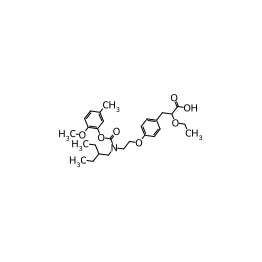 CCOC(Cc1ccc(OCCN(CC(CC)CC)C(=O)Oc2cc(C)ccc2OC)cc1)C(=O)O